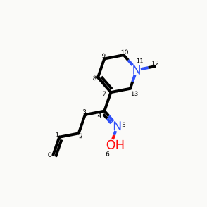 C=CCCC(=NO)C1=CCCN(C)C1